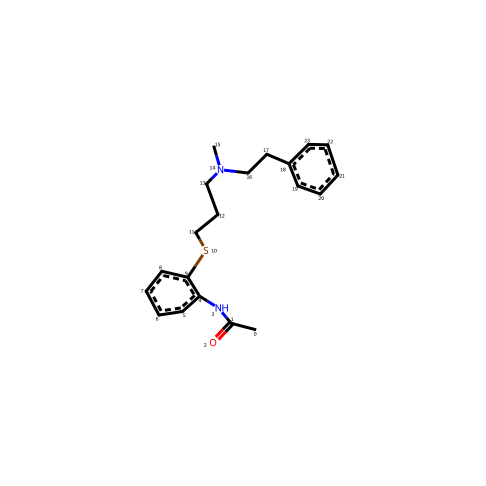 CC(=O)Nc1ccccc1SCCCN(C)CCc1ccccc1